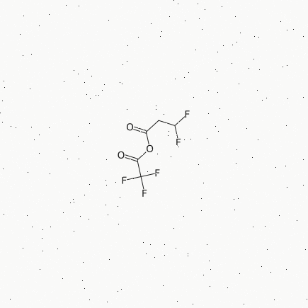 O=C(CC(F)F)OC(=O)C(F)(F)F